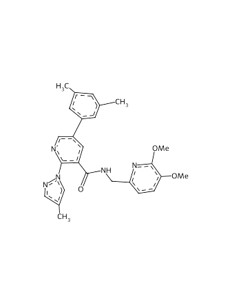 COc1ccc(CNC(=O)c2cc(-c3cc(C)cc(C)c3)cnc2-n2cc(C)cn2)nc1OC